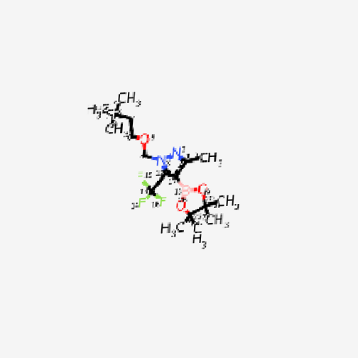 Cc1nn(COCC[Si](C)(C)C)c(C(F)(F)F)c1B1OC(C)(C)C(C)(C)O1